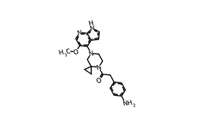 COc1cnc2[nH]ccc2c1N1CCN(C(=O)Cc2ccc(N)cc2)C2(CC2)C1